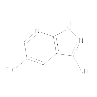 Nc1n[nH]c2ncc(C(F)(F)F)cc12